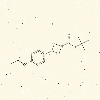 CCOc1ccc(C2CN(C(=O)OC(C)(C)C)C2)cc1